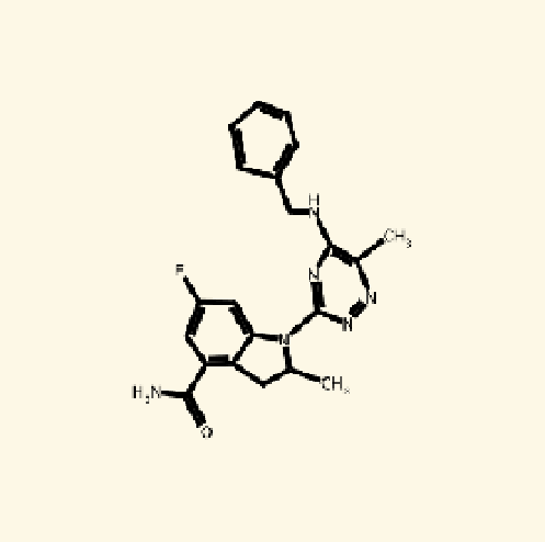 Cc1nnc(N2c3cc(F)cc(C(N)=O)c3CC2C)nc1NCc1ccccc1